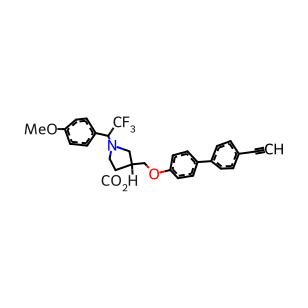 C#Cc1ccc(-c2ccc(OCC3(C(=O)O)CCN(C(c4ccc(OC)cc4)C(F)(F)F)C3)cc2)cc1